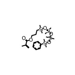 C=C(C)C(=O)OCCC[Si](C)(C)O[Si](C)(C)O[Si](C)(C)O[Si](C)(C)c1ccccc1